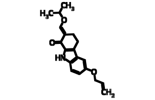 C=CCOc1ccc2[nH]c3c(c2c1)CCC(=COC(C)C)C3=O